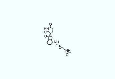 CC(=O)NCCOCCNc1cccc2c1CN(C1CCC(=O)NC1=O)C2=O